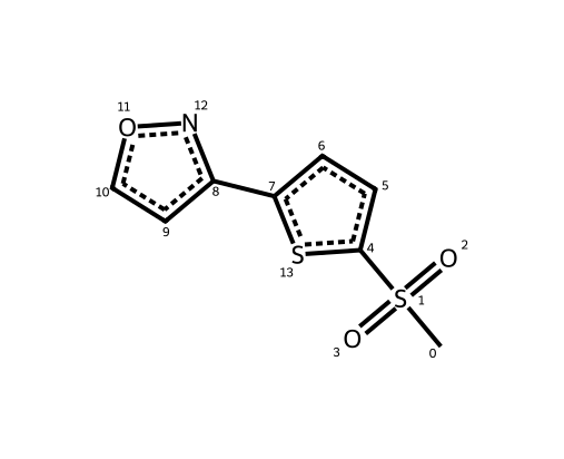 CS(=O)(=O)c1ccc(-c2ccon2)s1